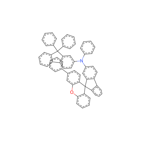 c1ccc(-c2ccc3c(c2)Oc2ccccc2C32c3ccccc3-c3ccc(N(c4ccccc4)c4ccc5c(c4)C(c4ccccc4)(c4ccccc4)c4ccccc4-5)cc32)cc1